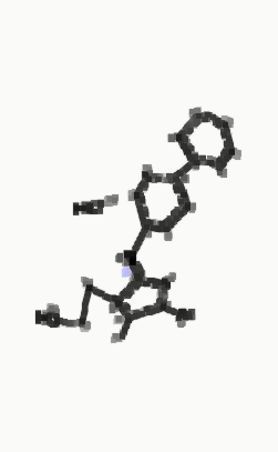 CC(=O)c1s/c(=N\c2ccc(-c3ccccc3)nc2)n(CCO)c1C.Cl